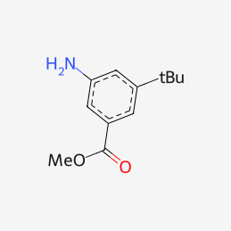 COC(=O)c1cc(N)cc(C(C)(C)C)c1